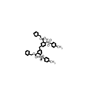 Cc1ccc(S(=O)(=O)Nc2ccc(Cc3ccc(NS(=O)(=O)c4ccc(C)cc4)c(C(=O)OCc4ccccc4)c3)cc2C(=O)OCc2ccccc2)cc1